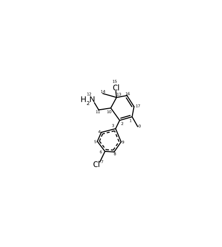 CC1=C(c2ccc(Cl)cc2)C(CN)C(C)(Cl)C=C1